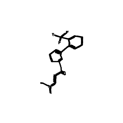 CN(C)C=CC(=O)c1cccc(-c2ccccc2C(F)(F)F)c1